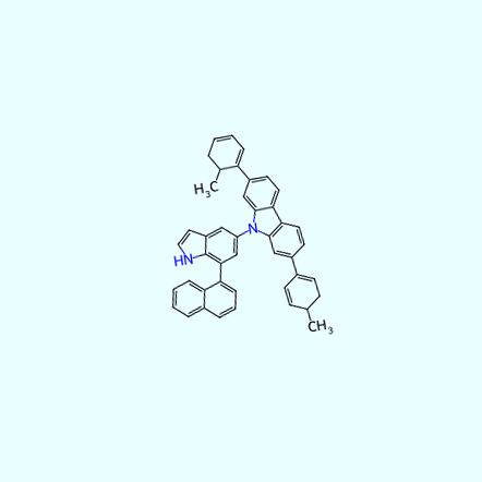 CC1C=CC(c2ccc3c4ccc(C5=CC=CCC5C)cc4n(-c4cc(-c5cccc6ccccc56)c5[nH]ccc5c4)c3c2)=CC1